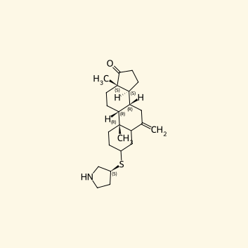 C=C1C[C@@H]2[C@@H](CC[C@]3(C)C(=O)CC[C@@H]23)[C@@]2(C)CCC(S[C@H]3CCNC3)CC12